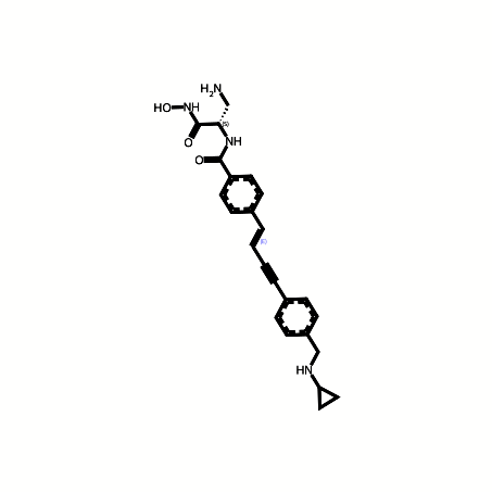 NC[C@H](NC(=O)c1ccc(/C=C/C#Cc2ccc(CNC3CC3)cc2)cc1)C(=O)NO